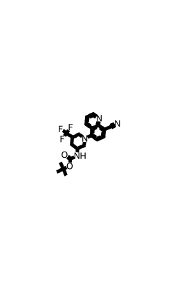 CC(C)(C)OC(=O)NC1CC(C(F)(F)F)CN(c2ccc(C#N)c3ncccc23)C1